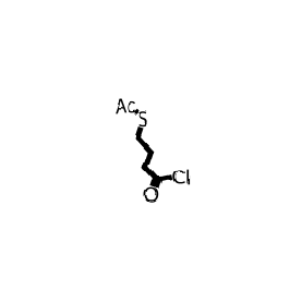 CC(=O)SCCCC(=O)Cl